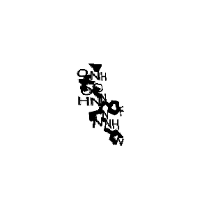 CC1(C(=O)NC2CC2)COC(c2nc(-c3ccc(F)cc3)c(-c3ccnc(NCc4ccncc4)n3)[nH]2)OC1